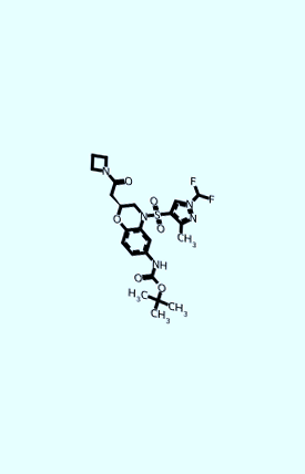 Cc1nn(C(F)F)cc1S(=O)(=O)N1C[C@H](CC(=O)N2CCC2)Oc2ccc(NC(=O)OC(C)(C)C)cc21